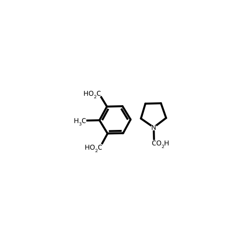 Cc1c(C(=O)O)cccc1C(=O)O.O=C(O)N1CCCC1